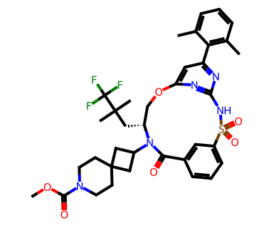 COC(=O)N1CCC2(CC1)CC(N1C(=O)c3cccc(c3)S(=O)(=O)Nc3nc(cc(-c4c(C)cccc4C)n3)OC[C@H]1CC(C)(C)C(F)(F)F)C2